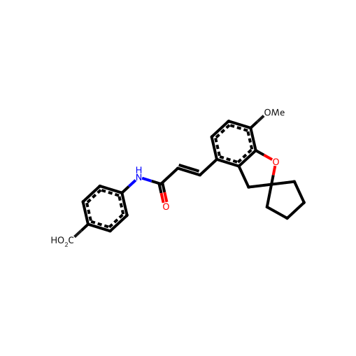 COc1ccc(/C=C/C(=O)Nc2ccc(C(=O)O)cc2)c2c1OC1(CCCC1)C2